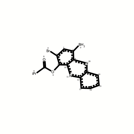 Bc1cc(Br)c(OC(=O)C(C)C)c2nc3ccccc3nc12